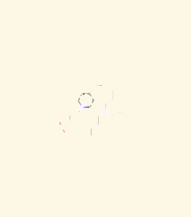 CCCCN(CCCC)CCCC.CCCc1ccncc1.O=S(=O)(O)CCO